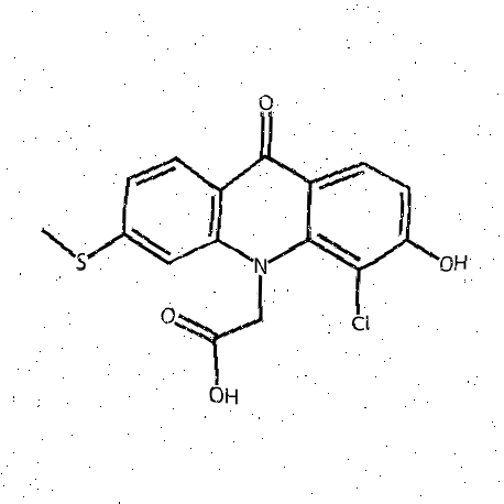 CSc1ccc2c(=O)c3ccc(O)c(Cl)c3n(CC(=O)O)c2c1